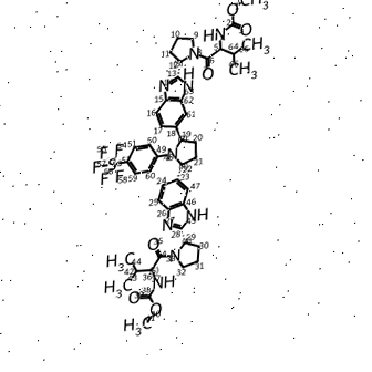 COC(=O)NC(C(=O)N1CCC[C@H]1c1nc2ccc([C@H]3CC[C@H](c4ccc5nc([C@@H]6CCCN6C(=O)[C@@H](NC(=O)OC)C(C)C)[nH]c5c4)N3c3ccc(S(F)(F)(F)(F)F)cc3)cc2[nH]1)C(C)C